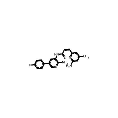 Cc1cc(N)nc(/C=C\C(=O)Nc2cc(-c3ccc(F)cc3)cnc2N)c1